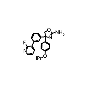 CC(C)Oc1ccc(C2(c3cccc(-c4cccnc4F)c3)COC(N)=N2)cc1